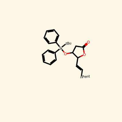 CCCCCC=CC1OC(=O)CC1O[Si](c1ccccc1)(c1ccccc1)C(C)(C)C